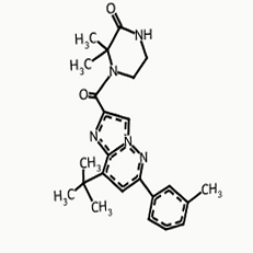 Cc1cccc(-c2cc(C(C)(C)C)c3nc(C(=O)N4CCNC(=O)C4(C)C)cn3n2)c1